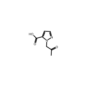 CC(=O)Cn1nccc1C(=O)O